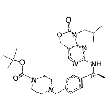 CC(C)CN1C(=O)OCc2cnc(N[C@@H](C)c3ccc(CN4CCN(C(=O)OC(C)(C)C)CC4)cc3)nc21